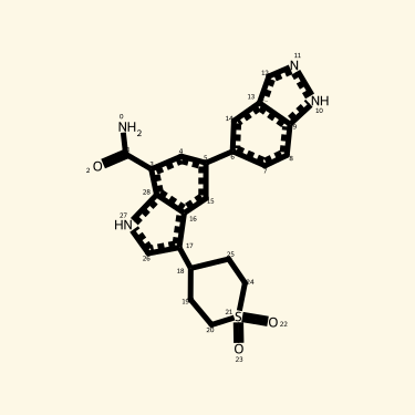 NC(=O)c1cc(-c2ccc3[nH]ncc3c2)cc2c(C3CCS(=O)(=O)CC3)c[nH]c12